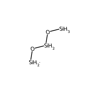 [SiH2]O[SiH2]O[SiH3]